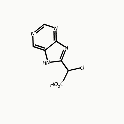 O=C(O)C(Cl)c1nc2ncncc2[nH]1